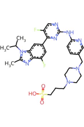 Cc1nc2c(F)cc(-c3nc(Nc4ccc(CN5CCN(CCCS(=O)(=O)O)CC5)cn4)ncc3F)cc2n1C(C)C